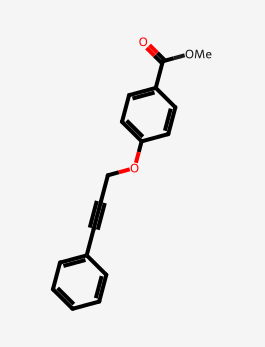 COC(=O)c1ccc(OCC#Cc2ccccc2)cc1